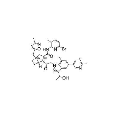 Cc1ncc(-c2cc(C)c3c(c2)c(C(C)O)nn3CC(=O)N2[C@H](C(=O)Nc3nc(Br)ccc3C)C[C@@]3(Cc4nc(C)no4)CC[C@@H]23)cn1